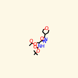 CC(=O)OCC(NC(=O)OC(C)(C)C)c1nnc(C2CCOCC2)o1